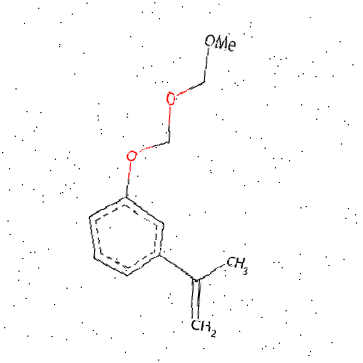 C=C(C)c1cccc(OCOCOC)c1